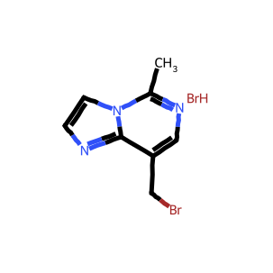 Br.Cc1ncc(CBr)c2nccn12